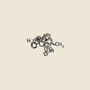 C=C(/N=C\C(=C/C)N1CC2(CCC(c3ccccc3)(N(C)C)CC2)N(CC2(O)CCC2)C1=O)N(CCC)CCC